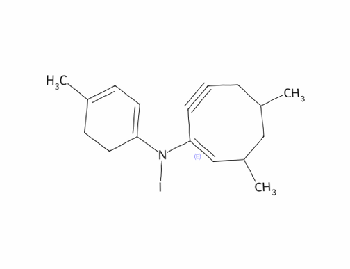 CC1=CC=C(N(I)/C2=C/C(C)CC(C)CC#C2)CC1